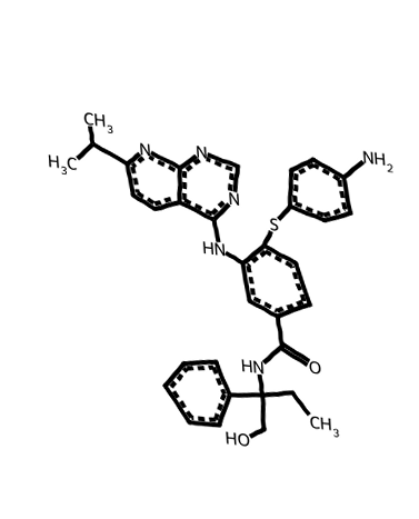 CCC(CO)(NC(=O)c1ccc(Sc2ccc(N)cc2)c(Nc2ncnc3nc(C(C)C)ccc23)c1)c1ccccc1